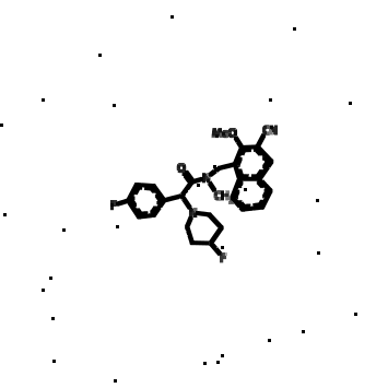 COc1c(C#N)cc2ccccc2c1CN(C)C(=O)C(c1ccc(F)cc1)N1CCC(F)CC1